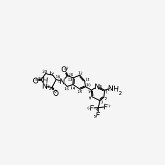 Nc1cc(C(F)(F)F)cc(-c2ccc3c(c2)CN(C2CCC(=O)NC2=O)C3=O)n1